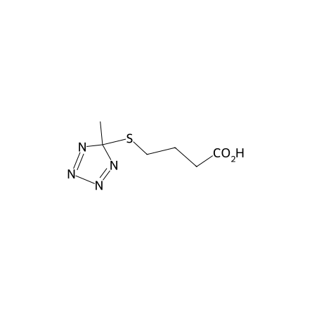 CC1(SCCCC(=O)O)N=NN=N1